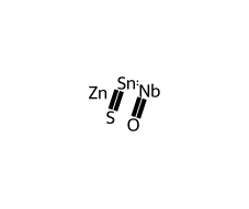 [O]=[Nb].[S]=[Sn].[Zn]